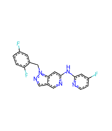 Fc1ccnc(Nc2cc3c(cn2)cnn3Cc2cc(F)ccc2F)c1